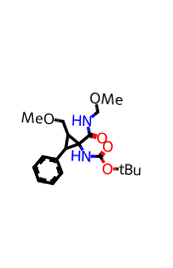 COCNC(=O)C1(NC(=O)OC(C)(C)C)C(COC)C1c1ccccc1